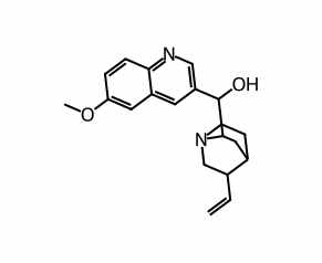 C=CC1CN2CCC1CC2C(O)c1cnc2ccc(OC)cc2c1